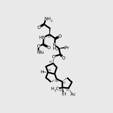 CC[C@]1(C)[C@@H](C(C)=O)CC[C@H]1[C@@H]1CC[C@H]2C[C@H](OC(=O)[C@@H](NC(=O)[C@H](CC(N)=O)NC(=O)OC(C)(C)C)C(C)C)CC21